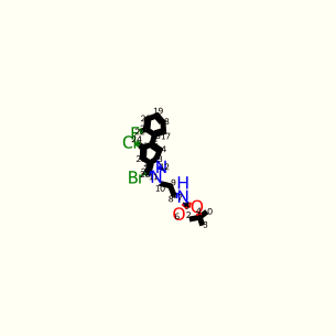 CC(C)(C)OC(=O)NCCCn1nc2cc(-c3ccccc3F)c(Cl)cc2c1Br